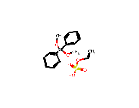 C=COS(=O)(=O)O.CO[Si](OC)(c1ccccc1)c1ccccc1